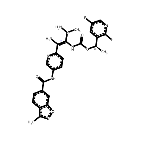 Cc1noc2cc(C(=O)Nc3ccc(/C(N)=C(\NC(=O)O[C@H](C)c4cc(F)cnc4F)N(C)N)nc3)ccc12